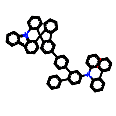 c1ccc(-c2ccc(N(c3ccccc3)c3ccccc3-c3ccccc3)cc2-c2ccc(-c3ccc4c(c3)-c3ccccc3C43c4ccccc4-n4c5ccccc5c5cccc3c54)cc2)cc1